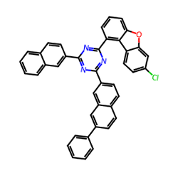 Clc1ccc2c(c1)oc1cccc(-c3nc(-c4ccc5ccccc5c4)nc(-c4ccc5ccc(-c6ccccc6)cc5c4)n3)c12